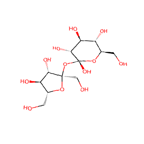 OC[C@H]1O[C@](CO)(O[C@@]2(O)O[C@H](CO)[C@@H](O)[C@H](O)[C@H]2O)[C@@H](O)[C@@H]1O